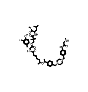 CNCC(=O)Nc1ccc(CN2CCN(Cc3ccc(C(C)OC(C)CC/C=C/C(=O)N[C@H](Cc4ccc(OC)c(Cl)c4)C(=O)NCC(C)(C)C(=O)NC(CC(C)C)C(=O)OC)cc3)CC2)cc1